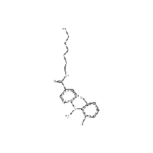 CN(c1ncc(C(=O)NCCCCCCS)cn1)c1c(Cl)cccc1Cl